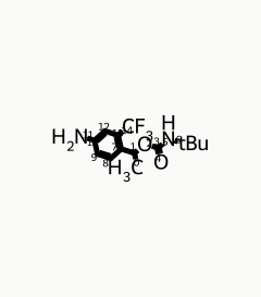 CC(OC(=O)NC(C)(C)C)c1ccc(N)cc1C(F)(F)F